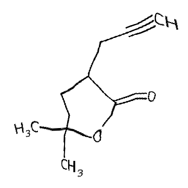 C#CCC1CC(C)(C)OC1=O